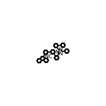 N#Cc1c(-c2cccc(-c3cc4ccccc4c4ccccc34)c2)cccc1-c1ccccc1-c1nc(-c2ccccc2)nc(-c2ccccc2-c2ccccc2)n1